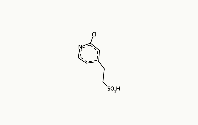 O=S(=O)(O)CCc1ccnc(Cl)c1